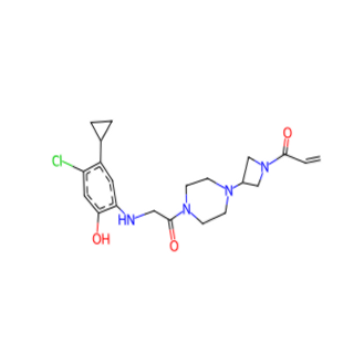 C=CC(=O)N1CC(N2CCN(C(=O)CNc3cc(C4CC4)c(Cl)cc3O)CC2)C1